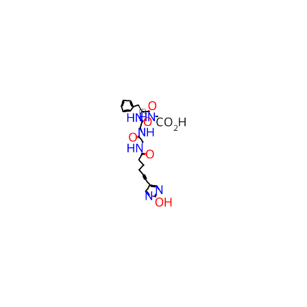 O=C(O)CNC(=O)[C@H](Cc1ccccc1)NC(=O)CNC(=O)CNC(=O)CCCC#Cc1cnc(O)nc1